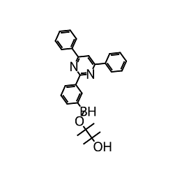 CC(C)(O)C(C)(C)OBc1cccc(-c2nc(-c3ccccc3)cc(-c3ccccc3)n2)c1